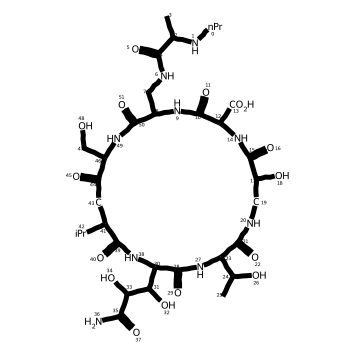 CCCNC(C)C(=O)NCC1NC(=O)C(C(=O)O)NC(=O)C(O)CNC(=O)C(C(C)O)NC(=O)C(C(O)C(O)C(N)=O)NC(=O)C(C(C)C)CC(=O)C(CO)NC1=O